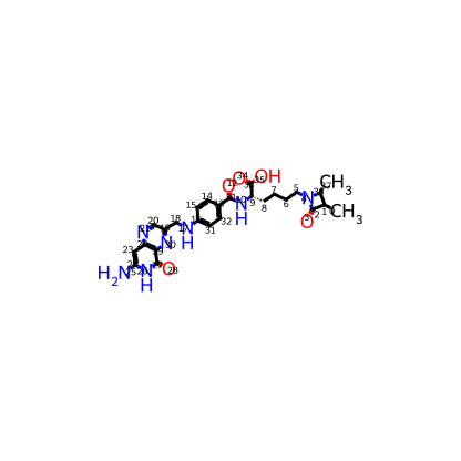 CC1C(=O)N(CCCC[C@H](NC(=O)c2ccc(NCc3cnc4cc(N)[nH]c(=O)c4n3)cc2)C(=O)O)C1C